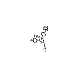 CN1CCN(C2=NC(CCC=O)=CN(c3ccc(-n4ccnn4)cc3)C2O)CC1